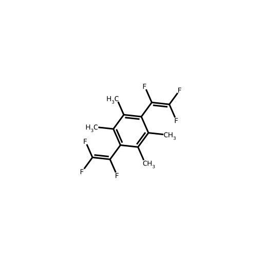 Cc1c(C)c(C(F)=C(F)F)c(C)c(C)c1C(F)=C(F)F